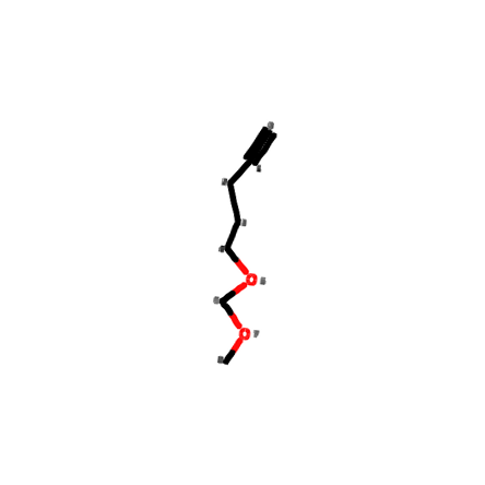 C#CCCCOCOC